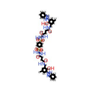 Cc1cc(CNC(=O)CCC(=O)NNS(=O)(=O)c2ccc(S(=O)(=O)NNC(=O)CCC(=O)NCc3cc(C)cc(-n4nc5ccccc5n4)c3O)cc2)c(O)c(-n2nc3ccccc3n2)c1